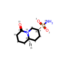 NS(=O)(=O)[C@@H]1CC[C@H]2CCCC(=O)N2C1